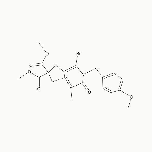 COC(=O)C1(C(=O)OC)Cc2c(c(Br)n(Cc3ccc(OC)cc3)c(=O)c2C)C1